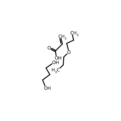 C=CC(=O)O.CCCOCCC.OCCCO